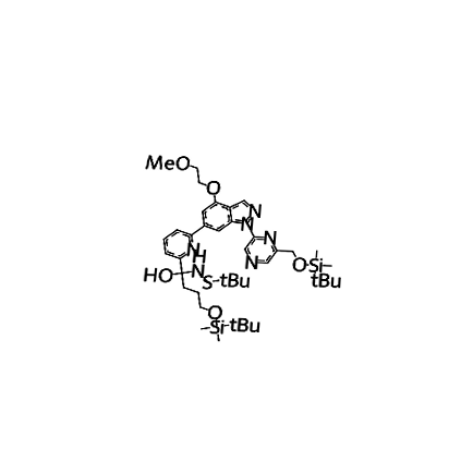 COCCOc1cc(-c2cccc(C(O)(CCCO[Si](C)(C)C(C)(C)C)NSC(C)(C)C)n2)cc2c1cnn2-c1cncc(CO[Si](C)(C)C(C)(C)C)n1